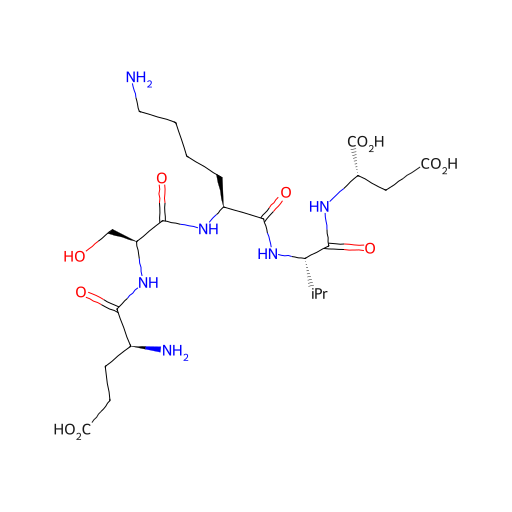 CC(C)[C@H](NC(=O)[C@H](CCCCN)NC(=O)[C@H](CO)NC(=O)[C@@H](N)CCC(=O)O)C(=O)N[C@@H](CC(=O)O)C(=O)O